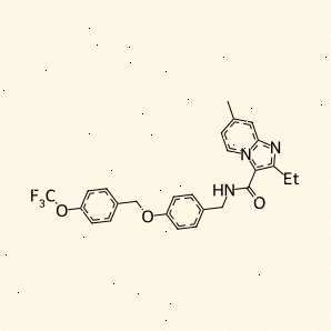 CCc1nc2cc(C)ccn2c1C(=O)NCc1ccc(OCc2ccc(OC(F)(F)F)cc2)cc1